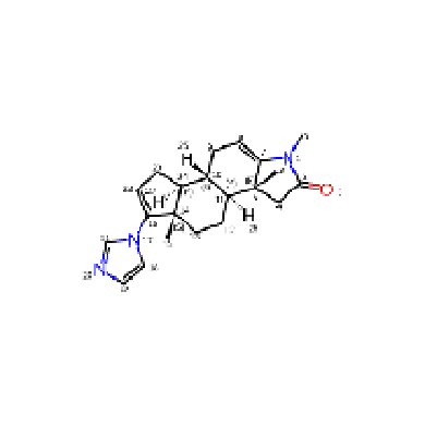 CN1C(=O)C[C@@]2(C)C1=CC[C@@H]1[C@@H]2CC[C@]2(C)C(n3ccnc3)=CC[C@@H]12